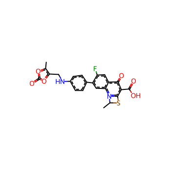 Cc1oc(=O)oc1CNc1ccc(-c2cc3c(cc2F)c(=O)c(C(=O)O)c2n3C(C)S2)cc1